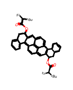 CCCCC(CC)C(=O)OC1Cc2ccccc2-c2c1cc1ccc3c4c(cc5ccc2c1c53)C(OC(=O)C(CC)CCCC)Cc1ccccc1-4